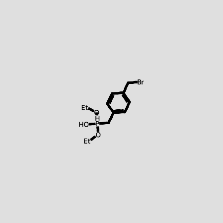 CCO[PH](O)(Cc1ccc(CBr)cc1)OCC